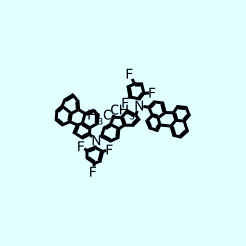 CC1(C)c2cc(N(c3c(F)cc(F)cc3F)c3ccc4c5cccc6cccc(c7cccc3c74)c65)ccc2-c2ccc(N(c3c(F)cc(F)cc3F)c3ccc4c5cccc6cccc(c7cccc3c74)c65)cc21